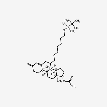 CC(=O)O[C@H]1CC[C@H]2[C@@H]3C(CCCCCCCO[Si](C)(C)C(C)(C)C)CC4=CC(=O)CC[C@]4(C)[C@H]3CC[C@]12C